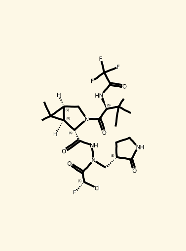 CC(C)(C)[C@H](NC(=O)C(F)(F)F)C(=O)N1C[C@H]2[C@@H]([C@H]1C(=O)NN(C[C@@H]1CCNC1=O)C(=O)[C@@H](F)Cl)C2(C)C